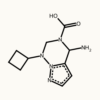 NC1c2ccnn2N(C2CCC2)CN1C(=O)O